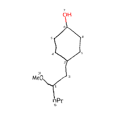 CCCC(CC1CCC(O)CC1)OC